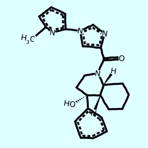 Cc1cccc(-n2cnc(C(=O)N3CC[C@](O)(c4ccccc4)[C@H]4CCCC[C@H]43)c2)n1